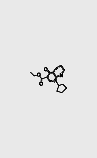 CCOC(=O)c1cn(C2CCCC2)c2ncccc2c1=O